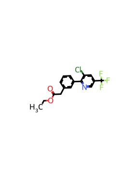 CCOC(=O)Cc1cccc(-c2ncc(C(F)(F)F)cc2Cl)c1